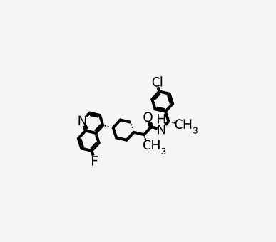 C[C@H](NC(=O)[C@H](C)[C@H]1CC[C@@H](c2ccnc3ccc(F)cc32)CC1)c1ccc(Cl)cc1